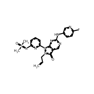 C=CCn1c(=O)c2cnc(Nc3ccc(F)nc3)nc2n1-c1cccc(N=S(C)(C)=O)n1